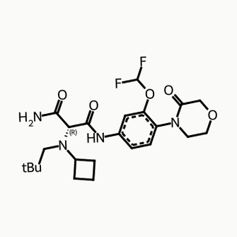 CC(C)(C)CN(C1CCC1)[C@H](C(N)=O)C(=O)Nc1ccc(N2CCOCC2=O)c(OC(F)F)c1